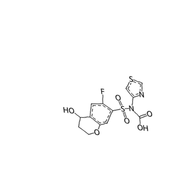 O=C(O)N(c1cscn1)S(=O)(=O)c1cc2c(cc1F)C(O)CCO2